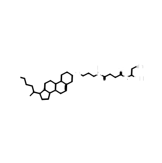 CC(C)CCCC(C)C1CCC2C3CC=C4C[C@@H](OCCCNC(=O)CCC(=O)NC(C=O)CC(C)C)CCC4C3CC[C@]12C